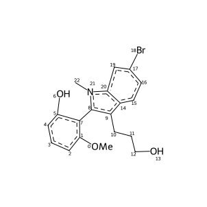 COc1cccc(O)c1-c1c(CCCO)c2ccc(Br)cc2n1C